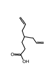 C=CCC(CC=C)CCC(=O)O